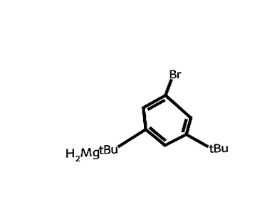 CC(C)(C)c1cc(Br)cc(C(C)(C)C)c1.[MgH2]